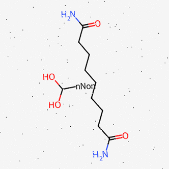 CCCCCCCCCC(O)O.NC(=O)CCCCCCCC(N)=O